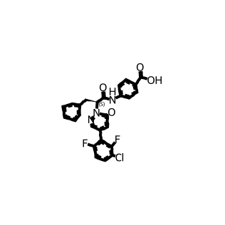 O=C(O)c1ccc(NC(=O)[C@H](Cc2ccccc2)n2ncc(-c3c(F)ccc(Cl)c3F)cc2=O)cc1